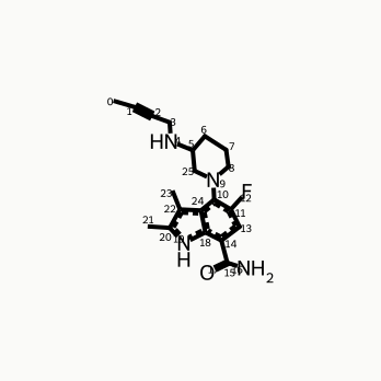 CC#CCNC1CCCN(c2c(F)cc(C(N)=O)c3[nH]c(C)c(C)c23)C1